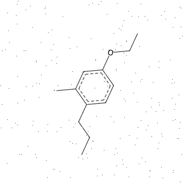 [CH2]c1cc(OCC)ccc1CCC